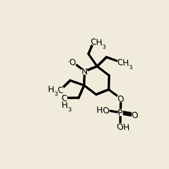 CCC1(CC)CC(OP(=O)(O)O)CC(CC)(CC)N1[O]